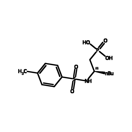 CCCC[C@H](CP(=O)(O)O)NS(=O)(=O)c1ccc(C)cc1